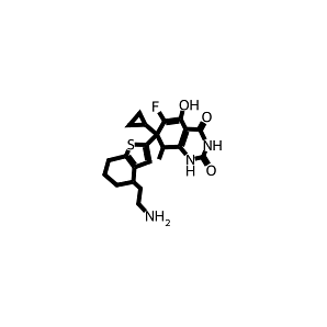 CC1c2[nH]c(=O)[nH]c(=O)c2C(O)=C(F)C1(c1cc2c(s1)CCCC2CCN)C1CC1